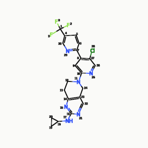 FC(F)(F)c1ccc(-c2cc(N3CCc4nc(NC5CC5)ncc4C3)ncc2Cl)nc1